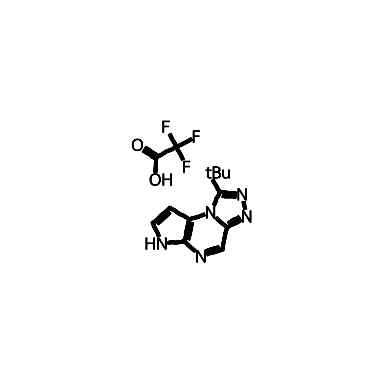 CC(C)(C)c1nnc2cnc3[nH]ccc3n12.O=C(O)C(F)(F)F